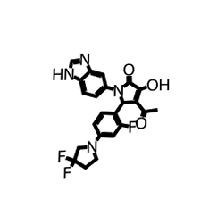 CC(=O)C1=C(O)C(=O)N(c2ccc3[nH]cnc3c2)C1c1ccc(N2CCC(F)(F)C2)cc1F